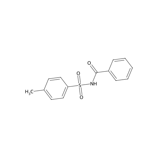 Cc1ccc(S(=O)(=O)NC(=O)c2ccccc2)cc1